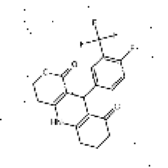 O=C1CCCC2=C1C(c1ccc(F)c(C(F)(F)F)c1)C1=C(CCOC1=O)N2